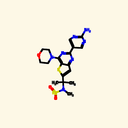 CN([SH](=O)=O)C(C)(C)c1cc2nc(-c3cnc(N)nc3)nc(N3CCOCC3)c2s1